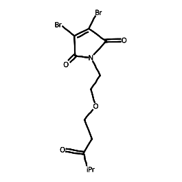 CC(C)C(=O)CCOCCN1C(=O)C(Br)=C(Br)C1=O